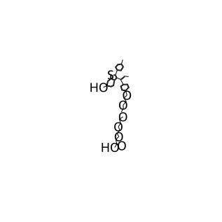 CC=C(c1ccc(OCCOCCOCCOCCOCC(=O)O)cc1)c1c(-c2ccc(C)cc2)sc2cc(O)ccc12